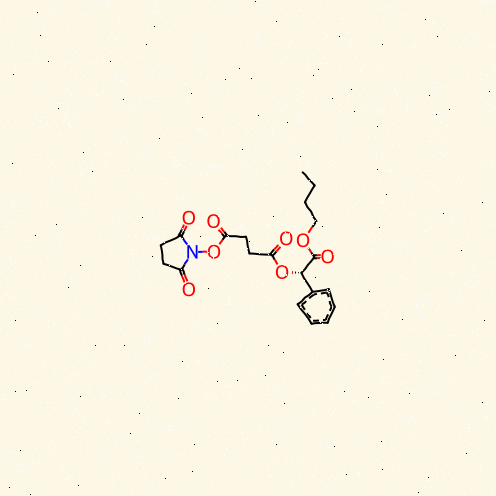 CCCCOC(=O)[C@@H](OC(=O)CCC(=O)ON1C(=O)CCC1=O)c1ccccc1